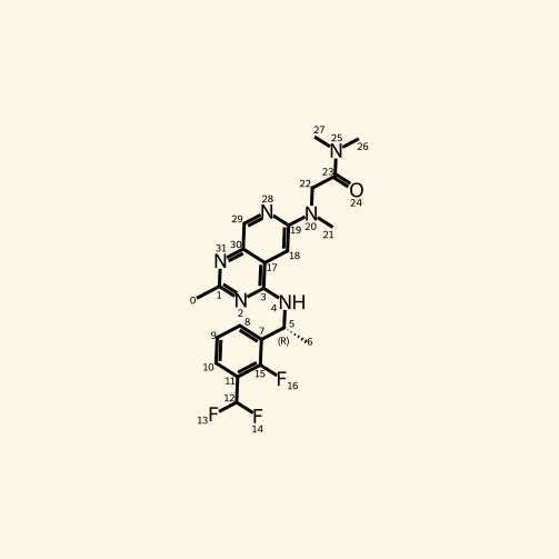 Cc1nc(N[C@H](C)c2cccc(C(F)F)c2F)c2cc(N(C)CC(=O)N(C)C)ncc2n1